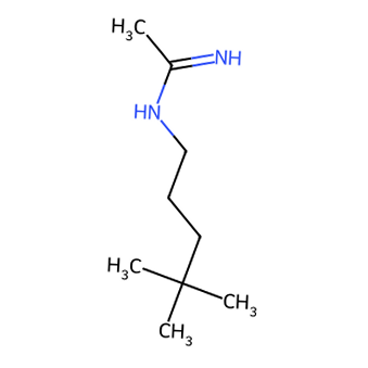 CC(=N)NCCCC(C)(C)C